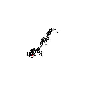 CCC(C)(C)[C@H](NC(=O)C1(F)CC1)C(=O)N1CCCC1C(=O)NCc1ccc(-c2scnc2C)cc1OCCCC1CCCN(C(=O)CC(=O)Nc2cccc(Sc3cnc(N4CCC(C)(N)CC4)cn3)c2Cl)CC1